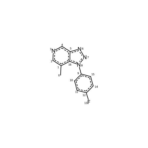 Cc1cncc2nnn(-c3ccc(F)cc3)c12